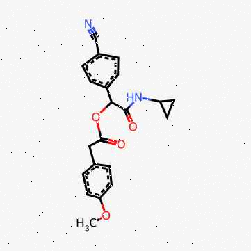 COc1ccc(CC(=O)OC(C(=O)NC2CC2)c2ccc(C#N)cc2)cc1